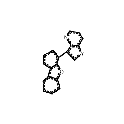 c1ccc2c(c1)oc1c(-c3cnc4cccnn34)cccc12